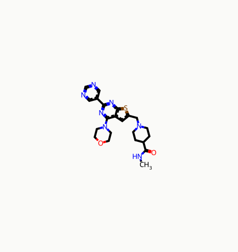 CNC(=O)C1CCN(Cc2cc3c(N4CCOCC4)nc(-c4cncnc4)nc3s2)CC1